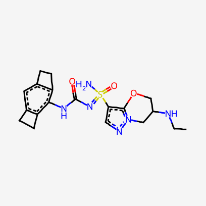 CCNC1COc2c(S(N)(=O)=NC(=O)Nc3c4c(cc5c3CC5)CC4)cnn2C1